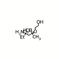 CCC(C)(N)CC(C)(C)OCCO